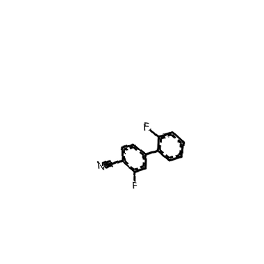 N#Cc1ccc(-c2ccccc2F)cc1F